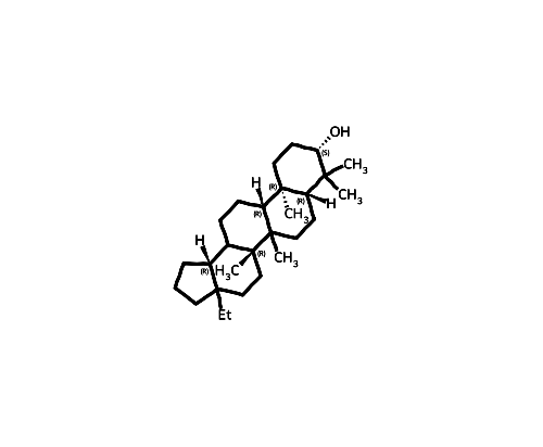 CCC12CCC[C@@H]1C1CC[C@H]3C(C)(CC[C@H]4C(C)(C)[C@@H](O)CC[C@@]43C)[C@]1(C)CC2